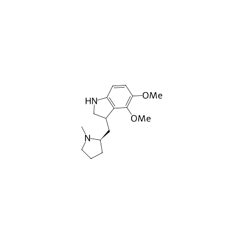 COc1ccc2c(c1OC)C(C[C@H]1CCCN1C)CN2